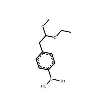 CCOC(Cc1ccc(B(O)O)cc1)OC